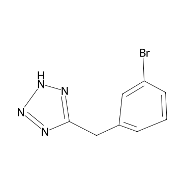 Brc1cccc(Cc2nn[nH]n2)c1